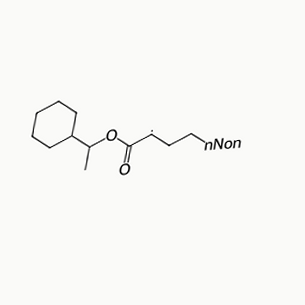 CCCCCCCCCCC[CH]C(=O)OC(C)C1CCCCC1